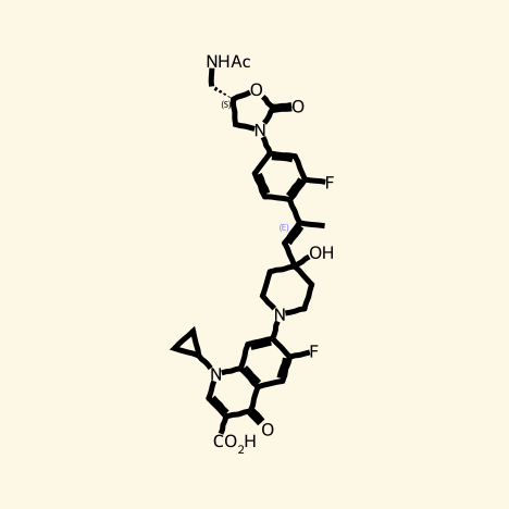 CC(=O)NC[C@H]1CN(c2ccc(/C(C)=C/C3(O)CCN(c4cc5c(cc4F)c(=O)c(C(=O)O)cn5C4CC4)CC3)c(F)c2)C(=O)O1